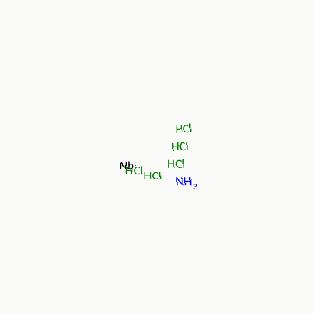 Cl.Cl.Cl.Cl.Cl.N.[Nb]